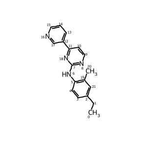 CCc1ccc(Nc2nccc(-c3cccnc3)n2)c(C)c1